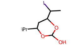 CC(C)C1CC(C(C)I)OC(O)O1